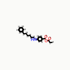 CCC(=O)OC(=O)c1ccc(NCCCCCCc2ccccc2)cc1